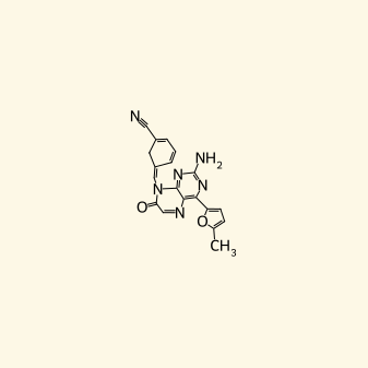 Cc1ccc(-c2nc(N)nc3c2ncc(=O)n3C=C2C=CC=C(C#N)C2)o1